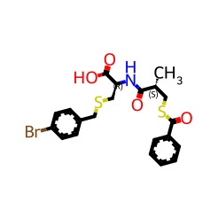 C[C@H](CSC(=O)c1ccccc1)C(=O)N[C@@H](CSCc1ccc(Br)cc1)C(=O)O